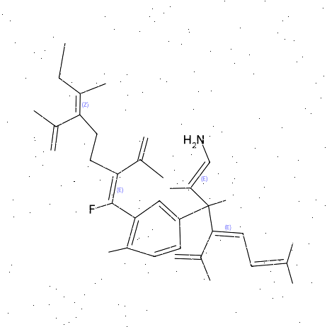 C=C(C)/C(CC/C(C(=C)C)=C(\F)c1cc(C(C)(/C(C)=C/N)/C(=C/C=C(C)C)C(=C)C)ccc1C)=C(/C)CC